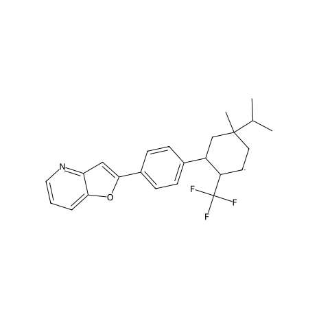 CC(C)C1(C)C[CH]C(C(F)(F)F)C(c2ccc(-c3cc4ncccc4o3)cc2)C1